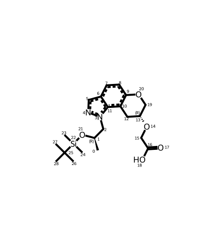 C[C@H](Cn1ncc2ccc3c(c21)C[C@@H](OCC(=O)O)CO3)O[Si](C)(C)C(C)(C)C